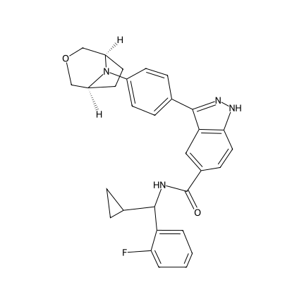 O=C(NC(c1ccccc1F)C1CC1)c1ccc2[nH]nc(-c3ccc(N4[C@@H]5CC[C@H]4COC5)cc3)c2c1